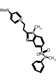 CNc1cc[n+](CCc2nc3cc(S(=O)(=O)N(C)c4ccccc4)ccc3n2C)cc1